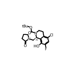 CC(C)(C)OC(=O)N1CCc2c(Cl)cc(F)c(O)c2[C@H]1CN1CCCC1=O